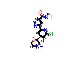 CNC(=O)c1cc(-c2cc([C@@H]3OCCN[C@H]3C)cc(Cl)n2)ncn1